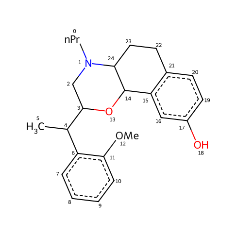 CCCN1CC(C(C)c2ccccc2OC)OC2c3cc(O)ccc3CCC21